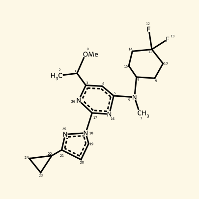 COC(C)c1cc(N(C)C2CCC(F)(F)CC2)nc(-n2ccc(C3CC3)n2)n1